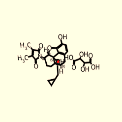 CC1=C(C)C(=O)N([C@@H]2CCC3(O)[C@H]4Cc5ccc(O)c6c5[C@@]3(CCN4CC3CC3)[C@H]2O6)C1=O.O=C(O)C(O)C(O)C(=O)O